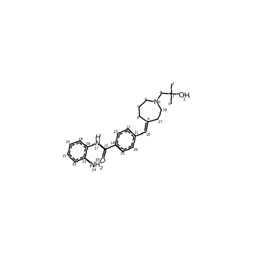 CC(C)(O)CN1CCCC(=Cc2ccc(C(=O)Nc3ccccc3N)cc2)CC1